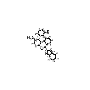 CN1CCC(OC(c2cccc(-c3ccccc3F)c2)c2nc3ccccc3s2)CC1